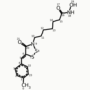 Cc1ccc(/C=C2\SSN(CCCCCCC(=O)NO)C2=O)cc1